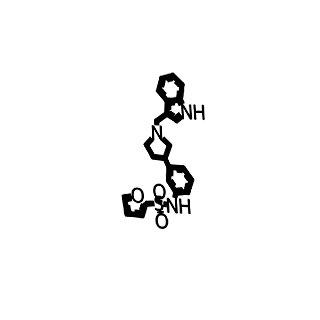 O=S(=O)(Nc1cccc(C2CCN(Cc3c[nH]c4ccccc34)C2)c1)c1ccco1